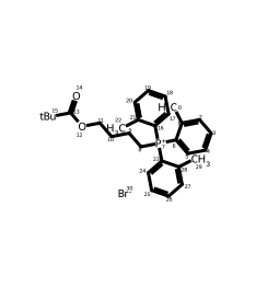 Cc1ccccc1[P+](CCCCOC(=O)C(C)(C)C)(c1ccccc1C)c1ccccc1C.[Br-]